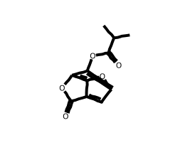 CC(C)C(=O)Oc1c2c3oc1cc3C(=O)O2